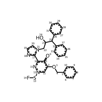 O=c1c(OCc2ccccc2)cn(SF)nc1-c1nccn1CC(O)C(c1ccccc1)c1ccccc1